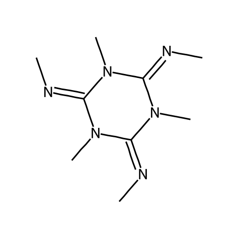 CN=c1n(C)c(=NC)n(C)c(=NC)n1C